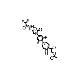 CC(=O)OCC(=O)N1CCN(c2c(F)cc(N3C[C@H](CNC(=O)C(F)F)OC3=O)cc2F)CCN1